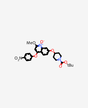 COc1cc(Oc2ccc([N+](=O)[O-])cc2)c2ccc(OC3CCN(C(=O)OC(C)(C)C)CC3)cc2[n+]1[O-]